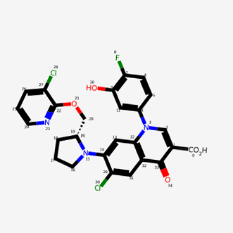 O=C(O)c1cn(-c2ccc(F)c(O)c2)c2cc(N3CCC[C@@H]3COc3ncccc3Cl)c(Cl)cc2c1=O